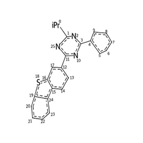 CC(C)c1nc(-c2ccccc2)nc(-c2ccc3c(c2)sc2ccccc23)n1